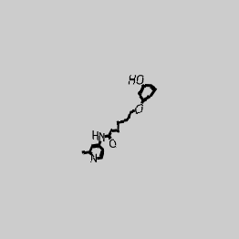 Cc1cc(NC(=O)CCCCCOc2cccc(O)c2)ccn1